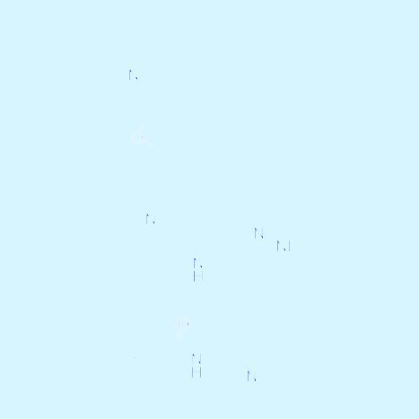 O=C(Nc1cncc(-c2ccc3[nH]nc(-c4cc5c(-c6cc(F)cc(OCCN7CCCC7)c6)nccc5[nH]4)c3c2)c1)C1CC1